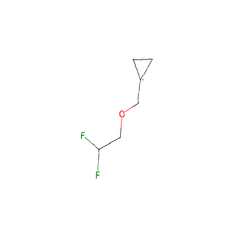 FC(F)COC[C]1CC1